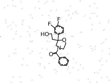 O=C(c1ccccc1)N1CCOC(CCO)(c2ccc(F)c(F)c2)C1